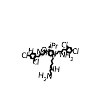 CC(C)C[C@@H]1CN(CC[C@@H](N)Cc2ccc(Cl)cc2Cl)[C@@H](CCCCNCCN)CN1C(=O)C[C@H](N)Cc1ccc(Cl)cc1Cl